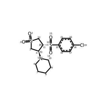 O=S1(=O)C[C@H](N2CCCCC2)[C@@H](S(=O)(=O)c2ccc(Cl)cc2)C1